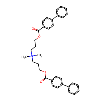 C[N+](C)(CCCOC(=O)c1ccc(-c2ccccc2)cc1)CCCOC(=O)c1ccc(-c2ccccc2)cc1